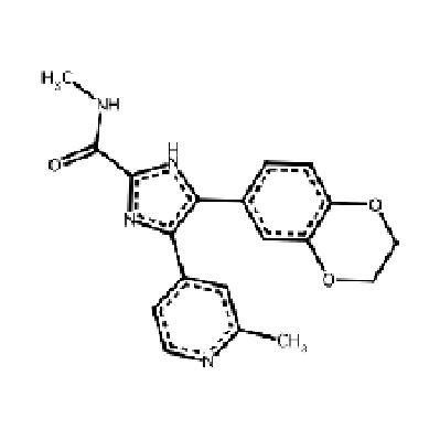 CNC(=O)c1nc(-c2ccnc(C)c2)c(-c2ccc3c(c2)OCCO3)[nH]1